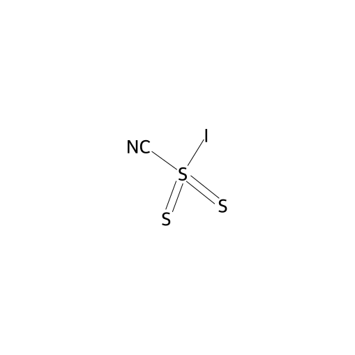 N#CS(=S)(=S)I